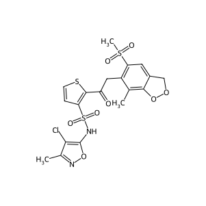 Cc1noc(NS(=O)(=O)c2ccsc2C(=O)Cc2c(S(C)(=O)=O)cc3c(c2C)OOC3)c1Cl